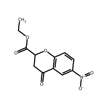 CCOC(=O)C1CC(=O)c2cc([N+](=O)[O-])ccc2O1